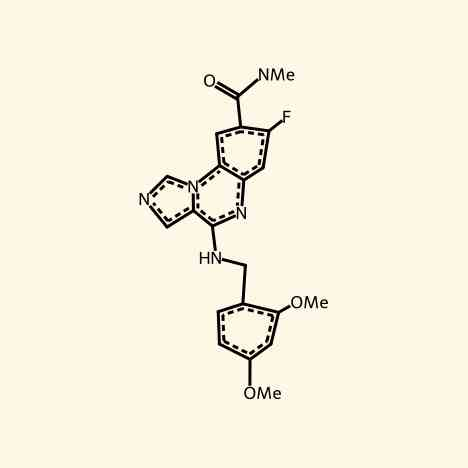 CNC(=O)c1cc2c(cc1F)nc(NCc1ccc(OC)cc1OC)c1cncn12